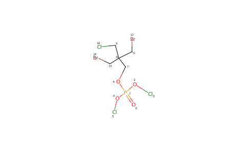 O=P(OCl)(OCl)OCC(CCl)(CBr)CBr